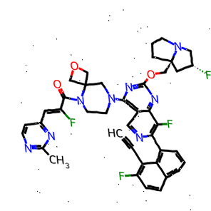 C#Cc1c(F)ccc2cccc(-c3ncc4c(N5CCN(C(=O)/C(F)=C/c6ccnc(C)n6)C6(COC6)C5)nc(OC[C@@]56CCCN5C[C@H](F)C6)nc4c3F)c12